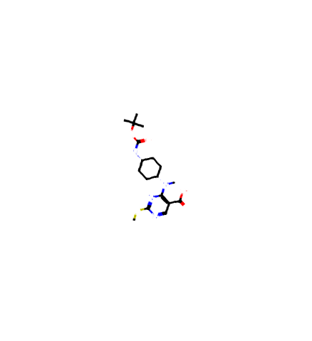 CSc1ncc(C(=O)O)c(N(C)[C@H]2CC[C@H](NC(=O)OC(C)(C)C)CC2)n1